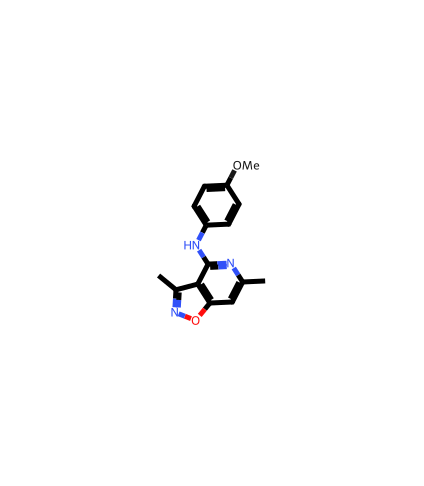 COc1ccc(Nc2nc(C)cc3onc(C)c23)cc1